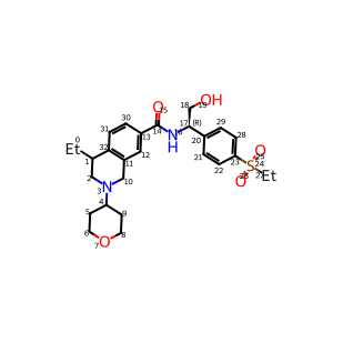 CCC1CN(C2CCOCC2)Cc2cc(C(=O)N[C@@H](CO)c3ccc(S(=O)(=O)CC)cc3)ccc21